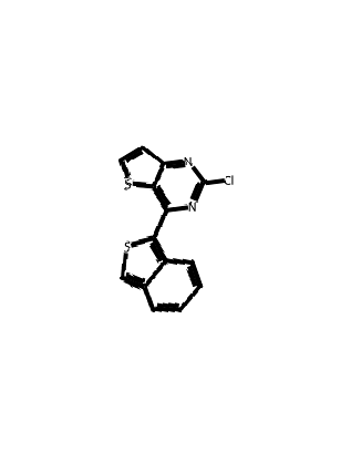 Clc1nc(-c2scc3ccccc23)c2sccc2n1